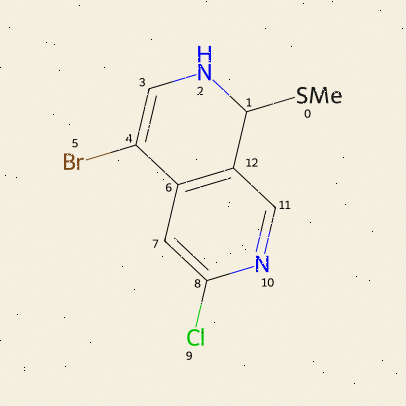 CSC1NC=C(Br)c2cc(Cl)ncc21